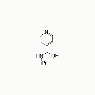 CC(C)NC(O)c1ccncc1